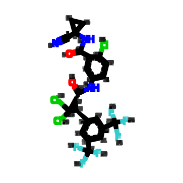 N#CC1(NC(=O)c2cc(NC(=O)[C@@H]3[C@@H](c4cc(C(F)(F)F)cc(C(F)(F)F)c4)C3(Cl)Cl)ccc2Cl)CC1